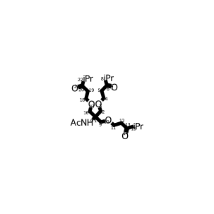 CC(=O)NC(COCCC(=O)C(C)C)(COCCC(=O)C(C)C)COCCC(=O)C(C)C